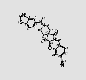 C[C@H](c1ccc2scnc2c1)N1CCC2(CC1)C(=O)N(Cc1ccc(C#N)cc1)C(=O)N2C